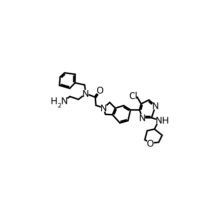 NCCN(Cc1ccccc1)C(=O)CN1Cc2ccc(-c3nc(NC4CCOCC4)ncc3Cl)cc2C1